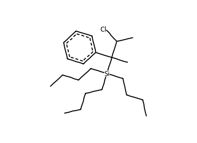 CCCC[Si](CCCC)(CCCC)C(C)(c1ccccc1)C(C)Cl